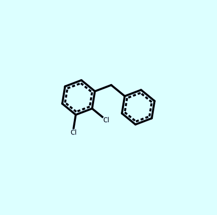 Clc1cccc(Cc2ccccc2)c1Cl